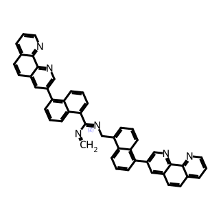 C=N/C(=N\Cc1cccc2c(-c3cnc4c(ccc5cccnc54)c3)cccc12)c1cccc2c(-c3cnc4c(ccc5cccnc54)c3)cccc12